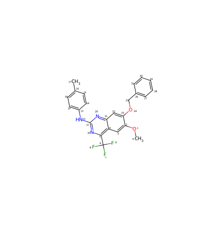 COc1cc2c(C(F)(F)F)nc(Nc3ccc(C)cc3)nc2cc1OCc1ccccc1